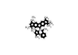 CC1=CC(C)[C](/[Zr+2](=[C](/C)c2ccccc2)[CH]2c3cc4c(cc3-c3cc5c(cc32)C(C)(C)C=C5C)C(C)=CC4(C)C)=C1C.[Cl-].[Cl-]